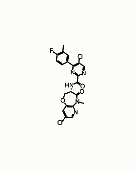 Cc1cc(-c2nc(C(=O)N[C@H]3COc4cc(Cl)cnc4N(C)C3=O)ncc2Cl)ccc1F